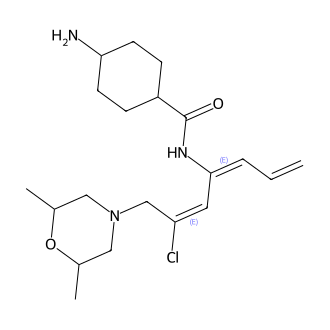 C=C/C=C(\C=C(\Cl)CN1CC(C)OC(C)C1)NC(=O)C1CCC(N)CC1